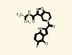 C[C@@H](NC(=O)c1noc2c1CN(C(=O)c1cc3c(Cl)c(F)ccc3[nH]1)CC2)C(F)(F)F